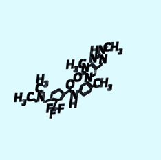 CCN(CC)Cc1ccc(C(=O)Nc2ccc(C)c(N3Cc4cnc(NC)nc4N(C)C3=O)c2)cc1C(F)(F)F